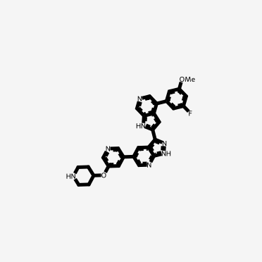 COc1cc(F)cc(-c2cncc3[nH]c(-c4n[nH]c5ncc(-c6cncc(OC7CCNCC7)c6)cc45)cc23)c1